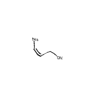 OC/C=[CH]\[Na]